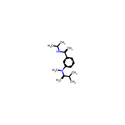 C=C(NC(C)C)c1cccc(N(C)C(=C)C(C)C)c1